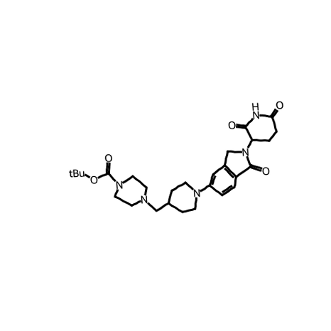 CC(C)(C)OC(=O)N1CCN(CC2CCN(c3ccc4c(c3)CN(C3CCC(=O)NC3=O)C4=O)CC2)CC1